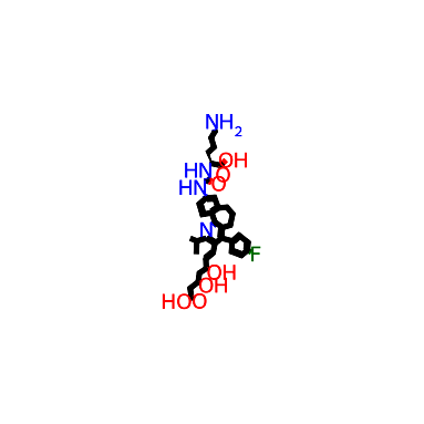 CC(C)c1nc2c(c(-c3ccc(F)cc3)c1/C=C/[C@@H](O)C[C@@H](O)CC(=O)O)CCCc1cc(NC(=O)N[C@@H](CCCCN)C(=O)O)ccc1-2